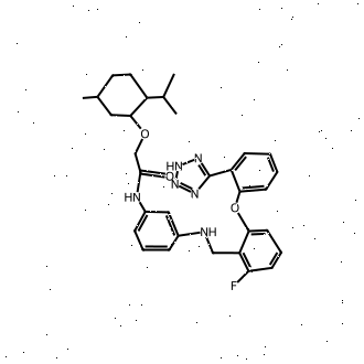 CC1CCC(C(C)C)C(OCC(=O)Nc2cccc(NCc3c(F)cccc3Oc3ccccc3-c3nn[nH]n3)c2)C1